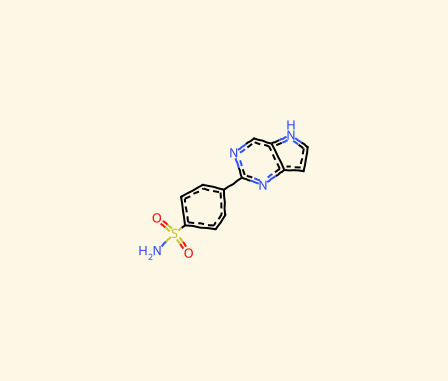 NS(=O)(=O)c1ccc(-c2ncc3[nH]ccc3n2)cc1